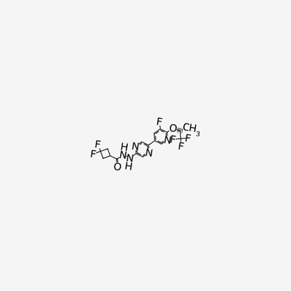 C[C@@H](Oc1ncc(-c2cnc(NNC(=O)C3CC(F)(F)C3)cn2)cc1F)C(F)(F)F